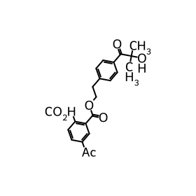 CC(=O)c1ccc(C(=O)O)c(C(=O)OCCc2ccc(C(=O)C(C)(C)O)cc2)c1